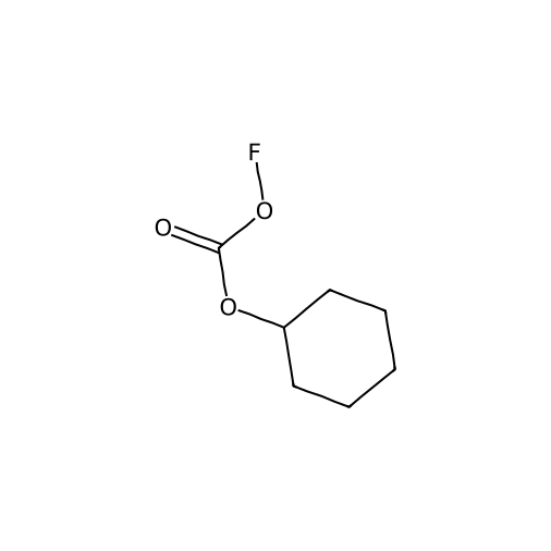 O=C(OF)OC1CCCCC1